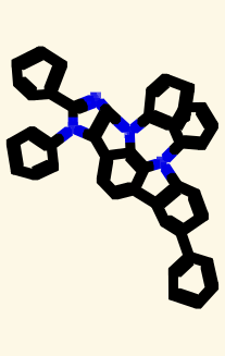 c1ccc(-c2ccc3c(c2)c2ccc4c5c(nc(-c6ccccc6)n5-c5ccccc5)n(-c5ccccc5)c4c2n3-c2ccccc2)cc1